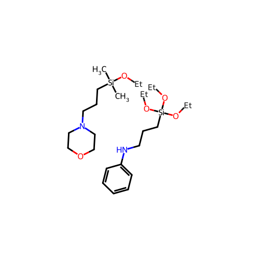 CCO[Si](C)(C)CCCN1CCOCC1.CCO[Si](CCCNc1ccccc1)(OCC)OCC